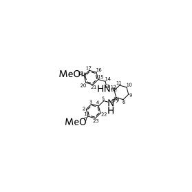 COc1ccc(CN[C@@H]2CCCC[C@H]2NCc2ccc(OC)cc2)cc1